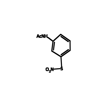 CC(=O)Nc1cccc(S[N+](=O)[O-])c1